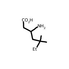 CCC(C)(C)CC(N)CC(=O)O